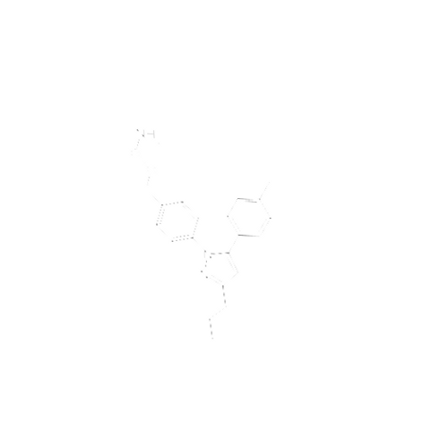 CCCc1cc(-c2ccc(C)cc2)n(-c2ccc(SOON)cc2)n1